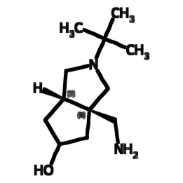 CC(C)(C)N1C[C@H]2CC(O)C[C@@]2(CN)C1